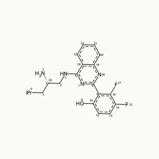 CC(C)C[C@H](N)CNc1nc(-c2c(O)ccc(F)c2F)nc2ccccc12